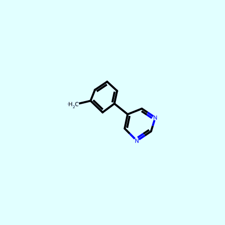 [CH2]c1cccc(-c2cncnc2)c1